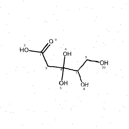 O=C(O)CC(O)(O)C(O)CO